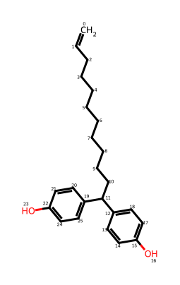 C=CCCCCCCCCCC(c1ccc(O)cc1)c1ccc(O)cc1